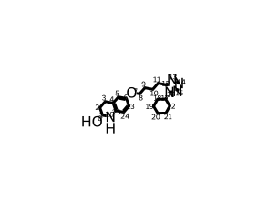 OC1CCc2cc(OCCCCc3nnnn3C3CCCCC3)ccc2N1